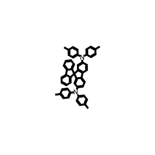 Cc1ccc(N(c2ccc(C)cc2)c2ccc3c(c2)C2(c4ccccc4-c4ccccc42)c2cc(N(c4ccc(C)cc4)c4ccc(C)cc4)ccc2-3)cc1